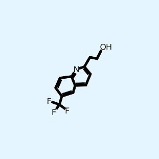 OCCc1ccc2cc(C(F)(F)F)ccc2n1